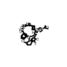 CO[C@@]1(CN2CCN(C3COC3)CC2)C2=C[C@H](C2)[C@H](C)[C@@H](C)S(=O)(=O)NC(=O)c2ccc3c(c2)N(C[C@@H]2CC[C@H]21)C[C@@]1(CCCc2c1ccc(Cl)c2F)CO3